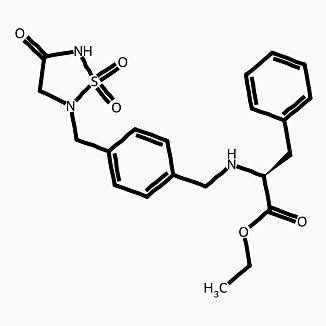 CCOC(=O)[C@H](Cc1ccccc1)NCc1ccc(CN2CC(=O)NS2(=O)=O)cc1